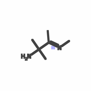 C/N=C(\C)C(C)(C)N